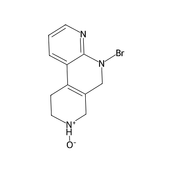 [O-][NH+]1CCC2=C(CN(Br)c3ncccc32)C1